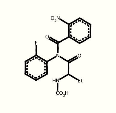 CCC(NC(=O)O)C(=O)N(C(=O)c1ccccc1[N+](=O)[O-])c1ccccc1F